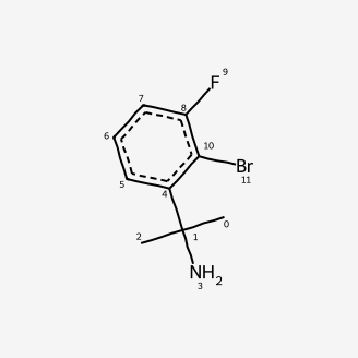 CC(C)(N)c1cccc(F)c1Br